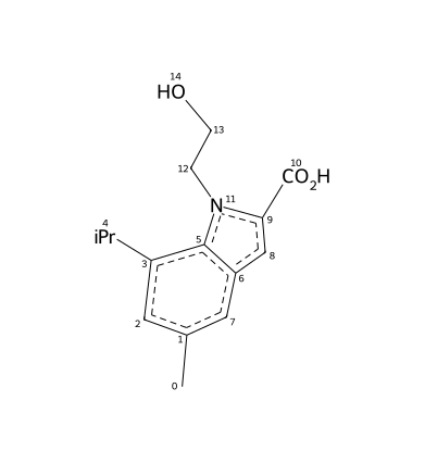 Cc1cc(C(C)C)c2c(c1)cc(C(=O)O)n2CCO